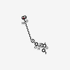 CCc1cccc(-n2c(=O)cc(C)c3cnc(Nc4ccc(N5CCN(CCCCCCCCCCCCNC(=O)CC67CC8CC(CC(C8)C6)C7)CC5)cc4OC)nc32)c1